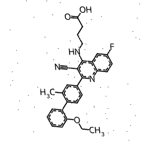 CCOc1ccccc1-c1ccc(-c2nc3ccc(F)cc3c(NCCCC(=O)O)c2C#N)cc1C